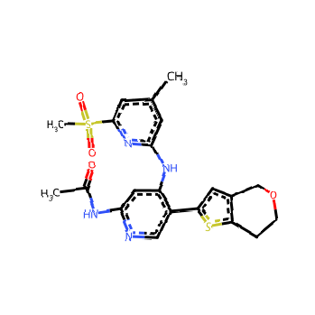 CC(=O)Nc1cc(Nc2cc(C)cc(S(C)(=O)=O)n2)c(-c2cc3c(s2)CCOC3)cn1